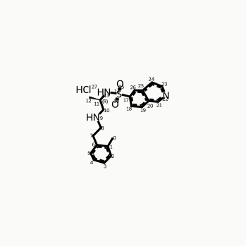 Cc1ccccc1CCNC[C@@H](C)NS(=O)(=O)c1ccc2cnccc2c1.Cl